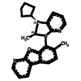 Cc1ccc2c(oc3ncccc32)c1N1c2ncccc2[P@@](C2CCCC2)[C@@H]1C